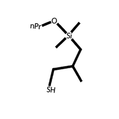 CCCO[Si](C)(C)CC(C)CS